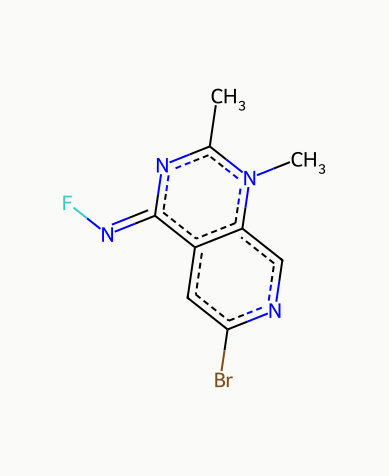 Cc1nc(=NF)c2cc(Br)ncc2n1C